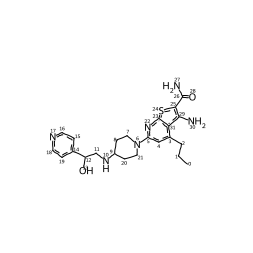 CCCc1cc(N2CCC(NCC(O)c3ccncc3)CC2)nc2sc(C(N)=O)c(N)c12